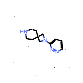 c1cnnc(N2CC3(CCNCC3)C2)c1